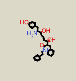 NC(Cc1ccc(O)cc1)C(O)C/C=C/C(O)C(Cc1ccccc1)C(=O)NCCc1ccccc1